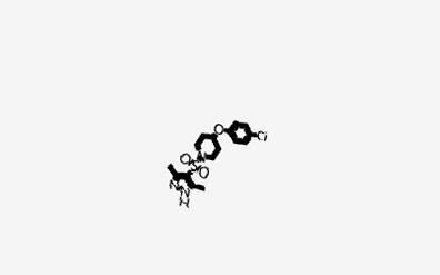 Cc1n[nH]c(C)c1S(=O)(=O)N1CCC(Oc2ccc(Cl)cc2)CC1